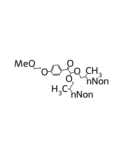 CCCCCCCCCC(C)COC(OCC(C)CCCCCCCCC)C(=O)c1ccc(OCCOC)cc1